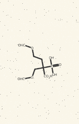 O=COCCC(COC=O)(C(=O)O)P(=O)(O)O